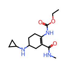 CCOC(=O)NC1=C(C(=O)NC)CC(NC2CC2)CC1